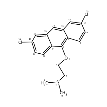 CN(C)CCOc1c2ccc(Cl)cc2cc2cc(Cl)ccc12